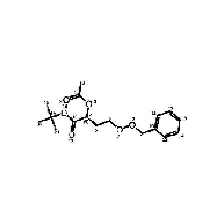 CC(=O)O[C@@H](CCOOCc1ccccc1)C(=O)OC(C)(C)C